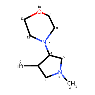 CC(C)C1CN(C)CC1N1CCOCC1